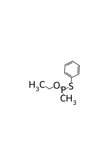 CCOP(C)Sc1ccccc1